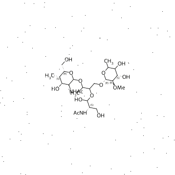 CO[C@H]1[C@H](OCC(OC(O)[C@H](CO)NC(C)=O)C(C)OC2O[C@@H](CO)[C@@H](C)C(O)C2NC(C)=O)OC(C)C(O)[C@@H]1O